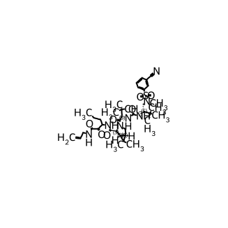 C=CCNC(=O)C(=O)C(CCC)NC(=O)[C@@H]1[C@@H]2[C@H](CN1C(=O)[C@@H](NC(=O)N[C@H](CN(C)S(=O)(=O)c1cccc(C#N)c1)C(C)(C)C)C(C)(C)C)C2(C)C